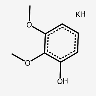 COc1cccc(O)c1OC.[KH]